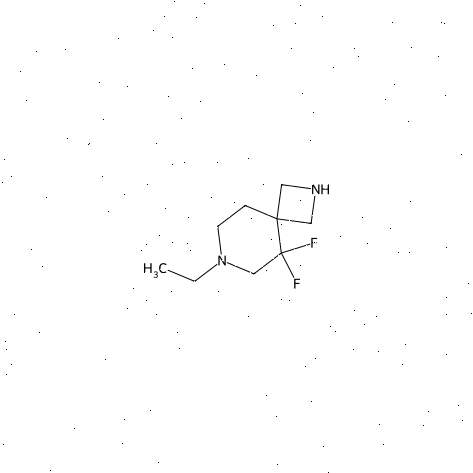 CCN1CCC2(CNC2)C(F)(F)C1